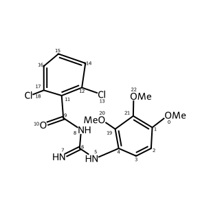 COc1ccc(NC(=N)NC(=O)c2c(Cl)cccc2Cl)c(OC)c1OC